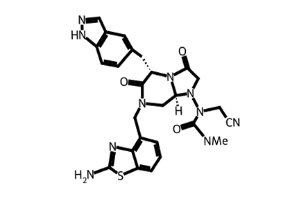 CNC(=O)N(CC#N)N1CC(=O)N2[C@@H](Cc3ccc4[nH]ncc4c3)C(=O)N(Cc3cccc4sc(N)nc34)C[C@@H]21